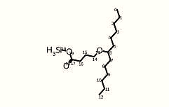 CCCCCCC(CCCCCC)OCCCC(=O)O[SiH3]